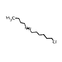 CCCCN=NCCCCCCCl